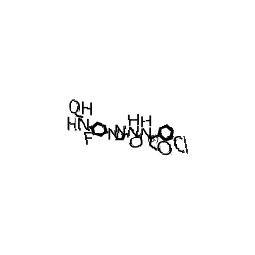 O=C(Nc1ccn(-c2ccc(NCCO)c(F)c2)n1)N[C@H]1CCOc2c(Cl)cccc21